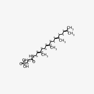 CC(C)=CCC/C(C)=C/CC/C(C)=C/CC/C(C)=C/CNC(=O)CCP(=O)(O)O